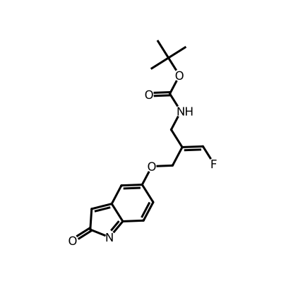 CC(C)(C)OC(=O)NC/C(=C/F)COc1ccc2c(c1)=CC(=O)N=2